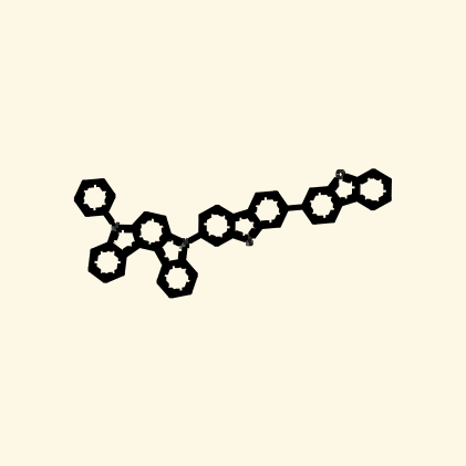 c1ccc(-n2c3ccccc3c3c4c5ccccc5n(-c5ccc6c(c5)sc5cc(-c7ccc8c(c7)oc7ccccc78)ccc56)c4ccc32)cc1